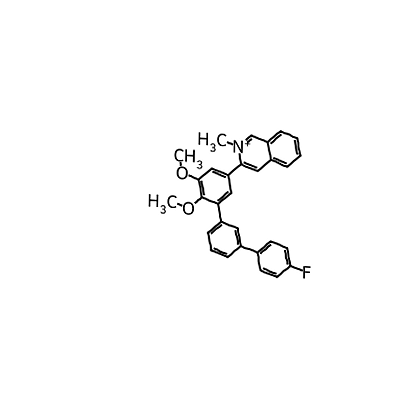 COc1cc(-c2cc3ccccc3c[n+]2C)cc(-c2cccc(-c3ccc(F)cc3)c2)c1OC